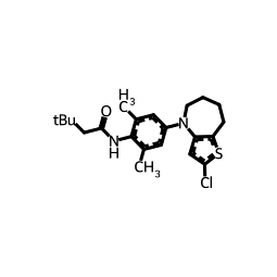 Cc1cc(N2CCCCc3sc(Cl)cc32)cc(C)c1NC(=O)CC(C)(C)C